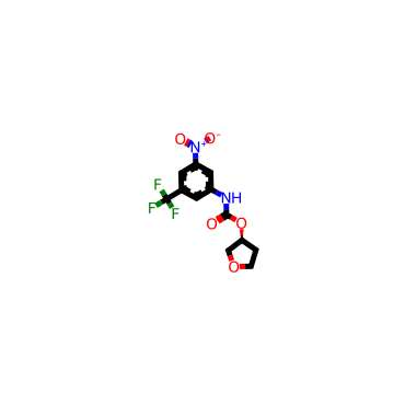 O=C(Nc1cc([N+](=O)[O-])cc(C(F)(F)F)c1)O[C@H]1CCOC1